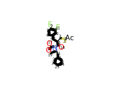 CC(=O)SC[C@H](Cc1ccc(F)c(F)c1)C(=O)N1C(=O)OC[C@H]1Cc1ccccc1